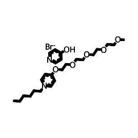 CCCCCC[n+]1ccc(OCCOCCOCCOCCOC)cc1.Oc1ccncc1.[Br-]